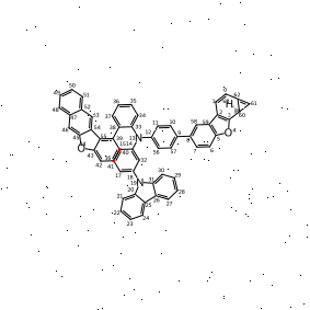 C1=Cc2c(oc3ccc(-c4ccc(N(c5cccc(-n6c7ccccc7c7ccccc76)c5)c5ccccc5-c5cccc6oc7cc8ccccc8cc7c56)cc4)cc23)[C@@H]2C=C12